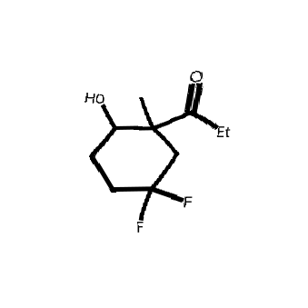 CCC(=O)C1(C)CC(F)(F)CCC1O